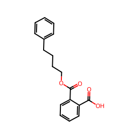 O=C(O)c1ccccc1C(=O)OCCCCc1ccccc1